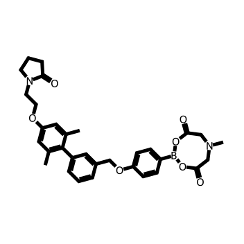 Cc1cc(OCCN2CCCC2=O)cc(C)c1-c1cccc(COc2ccc(B3OC(=O)CN(C)CC(=O)O3)cc2)c1